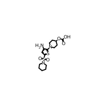 Nc1cc(S(=O)(=O)N2CCCCC2)sc1N1CCC(OC(=O)O)CC1